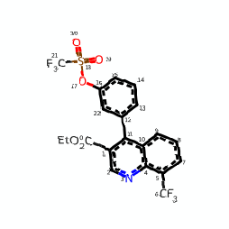 CCOC(=O)c1cnc2c(C(F)(F)F)cccc2c1-c1cccc(OS(=O)(=O)C(F)(F)F)c1